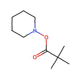 CC(C)(C)C(=O)ON1CCCCC1